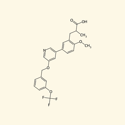 COc1ccc(-c2cncc(OCc3cccc(OC(F)(F)F)c3)c2)cc1CC(C)C(=O)O